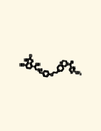 Cc1nc(C(=O)N2CCOC3(CCN(CCOc4ccc(CNC[C@H](O)c5ccc(O)c6[nH]c(=O)sc56)cc4)CC3)C2)cs1